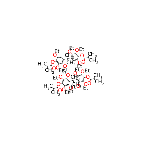 C=C(C)C(=O)Oc1c(OCC)c(OCC)c(C(C)(C)c2c(OCC)c(OCC)c(OC(=O)C(=C)C)c(OCC)c2OCC)c(OCC)c1OCC.C=C(C)C(=O)Oc1c(OCC)cc(C(C)(C)c2cc(OCC)c(OC(=O)C(=C)C)c(OCC)c2OCC)c(OCC)c1OCC